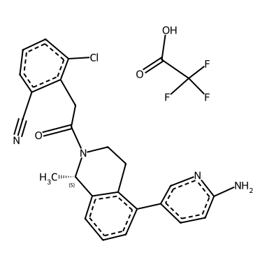 C[C@H]1c2cccc(-c3ccc(N)nc3)c2CCN1C(=O)Cc1c(Cl)cccc1C#N.O=C(O)C(F)(F)F